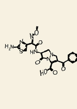 CO/N=C(\C(=O)N[C@H]1CN2CC(C(=O)c3ccccc3)=C(C(=O)O)N2C1=O)c1csc(N)n1